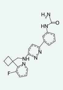 NC(=O)Nc1cccc(-c2ccc(NCC3(c4ncccc4F)CCC3)nn2)c1